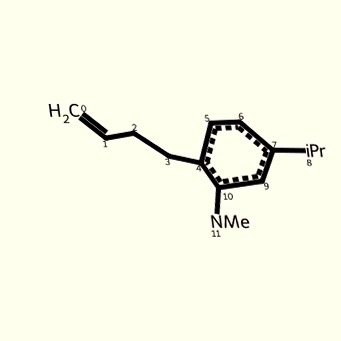 C=CCCc1ccc(C(C)C)cc1NC